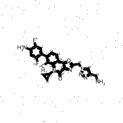 Cc1c(-c2cc(F)c(N)cc2F)ccc2c3oc(Cn4cc(CN)nn4)nc3c(=O)n(C3CC3)c12